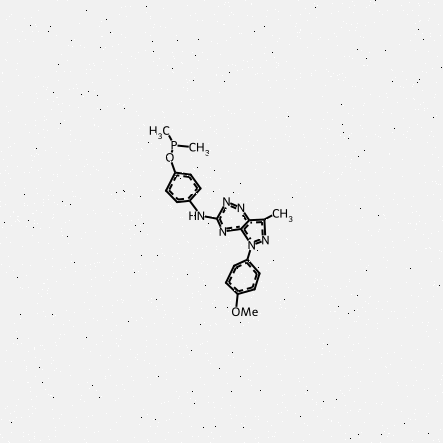 COc1ccc(-n2nc(C)c3nnc(Nc4ccc(OP(C)C)cc4)nc32)cc1